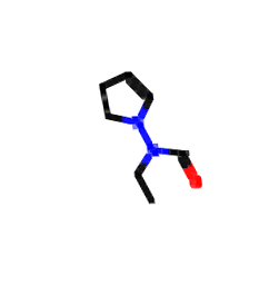 CCN([C]=O)N1C=CCC1